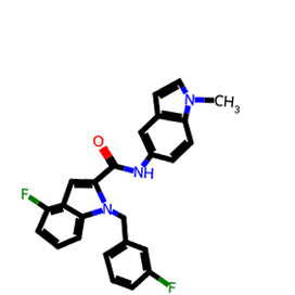 Cn1ccc2cc(NC(=O)c3cc4c(F)cccc4n3Cc3cccc(F)c3)ccc21